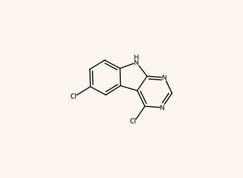 Clc1ccc2[nH]c3ncnc(Cl)c3c2c1